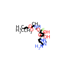 C[C@H](NCOC[C@@]1(CF)O[C@@H](c2ccc3c(N)ncnn23)[C@H](O)[C@@H]1O)C(=O)OCCC(C)(C)C